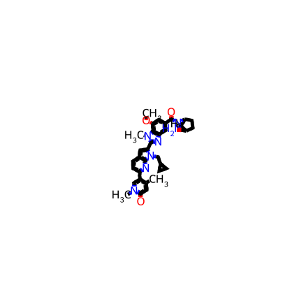 COc1cc(C(=O)N2CC3CCC2[C@@H]3N)cc2nc(-c3cc4ccc(-c5cn(C)c(=O)cc5C)nc4n3CC3CC3)n(C)c12